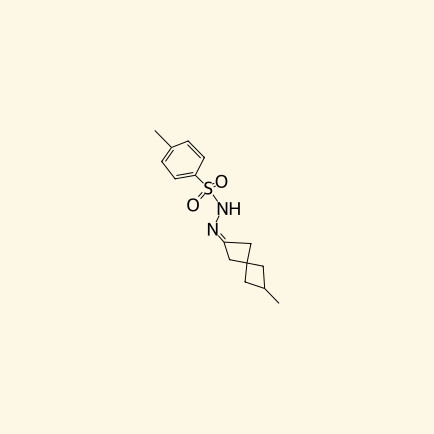 Cc1ccc(S(=O)(=O)NN=C2CC3(C2)CC(C)C3)cc1